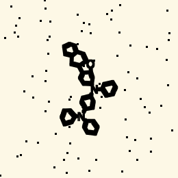 c1ccc(N(c2ccccc2)c2ccc(N(c3ccccc3)c3ccc4c(c3)oc3cc5ccccc5cc34)cc2)cc1